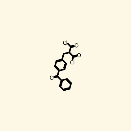 O=C(c1ccccc1)c1ccc(CC(C(=O)Cl)C(=O)Cl)cc1